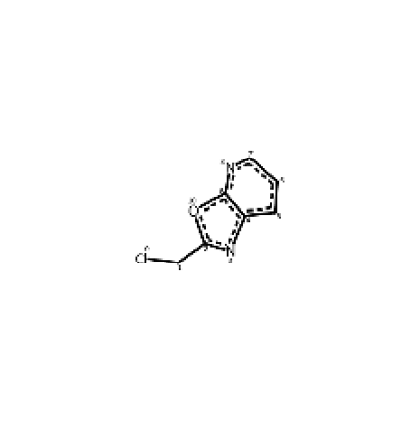 ClCc1nc2cccnc2o1